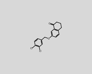 O=C1CCCc2ccc(OCc3ccc(Cl)c(Cl)c3)cc21